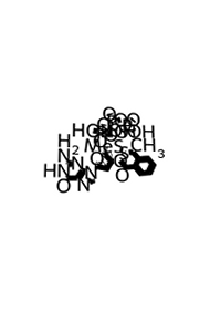 CSSC(C)c1ccccc1C(=O)OC1C[C@H](n2cnc3c(=O)[nH]c(N)nc32)O[C@@H]1COP(=O)(O)OP(=O)(O)OP(=O)(O)O